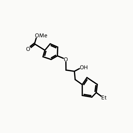 CCc1ccc(CC(O)COc2ccc(C(=O)OC)cc2)cc1